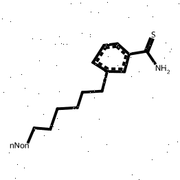 CCCCCCCCCCCCCCCc1cccc(C(N)=S)c1